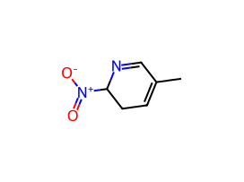 CC1=CCC([N+](=O)[O-])N=C1